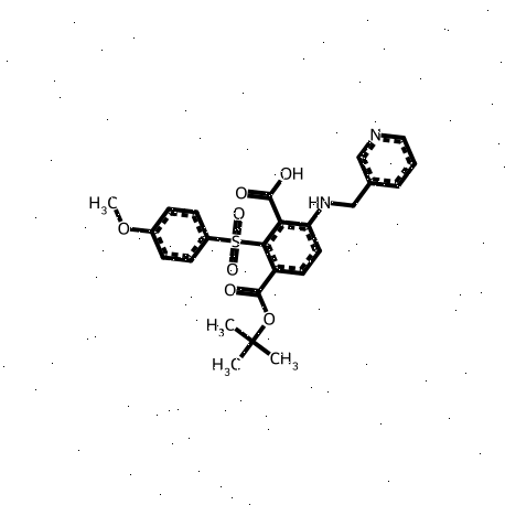 COc1ccc(S(=O)(=O)c2c(C(=O)OC(C)(C)C)ccc(NCc3cccnc3)c2C(=O)O)cc1